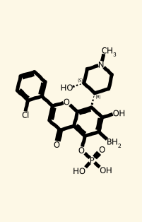 Bc1c(O)c([C@H]2CCN(C)C[C@H]2O)c2oc(-c3ccccc3Cl)cc(=O)c2c1OP(=O)(O)O